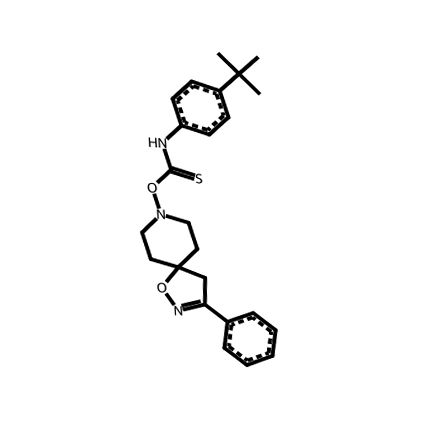 CC(C)(C)c1ccc(NC(=S)ON2CCC3(CC2)CC(c2ccccc2)=NO3)cc1